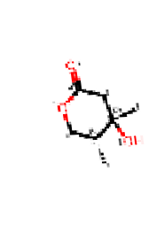 C[C@@H]1COC(=O)C[C@]1(C)O